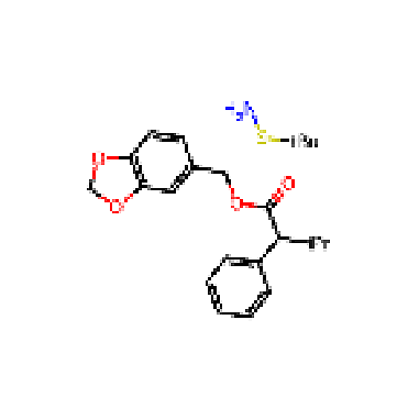 CC(C)(C)SN.CC(C)C(C(=O)OCc1ccc2c(c1)OCO2)c1ccccc1